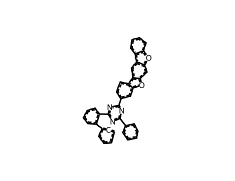 c1ccc(-c2nc(-c3ccc4c(c3)oc3cc5oc6ccccc6c5cc34)nc(-c3ccccc3-c3ccccc3)n2)cc1